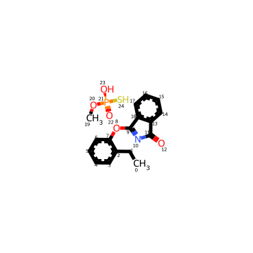 CCc1ccccc1OC1=NC(=O)c2ccccc21.CO[P@](=O)(O)S